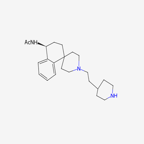 CC(=O)N[C@H]1CCC2(CCN(CCC3CCNCC3)CC2)c2ccccc21